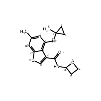 Cc1nc(NC2(C)CC2)c2c(C(=O)NC3CCO3)coc2n1